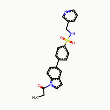 CCC(=O)n1ccc2cc(-c3ccc(S(=O)(=O)NCc4cccnc4)cc3)ccc21